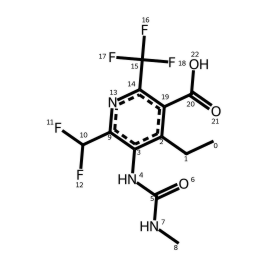 CCc1c(NC(=O)NC)c(C(F)F)nc(C(F)(F)F)c1C(=O)O